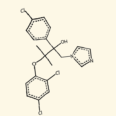 CC(C)(Oc1ccc(Cl)cc1Cl)C(O)(Cn1ccnc1)c1ccc(Cl)cc1